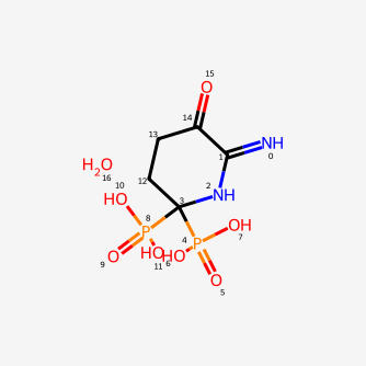 N=C1NC(P(=O)(O)O)(P(=O)(O)O)CCC1=O.O